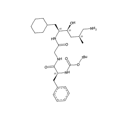 C[C@H](CN)C[C@H](O)[C@H](CC1CCCCC1)NC(=O)CNC(=O)[C@H](Cc1ccccc1)NC(=O)OC(C)(C)C